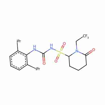 CC(C)c1cccc(C(C)C)c1NC(=O)NS(=O)(=O)C1CCCC(=O)N1CC(F)(F)F